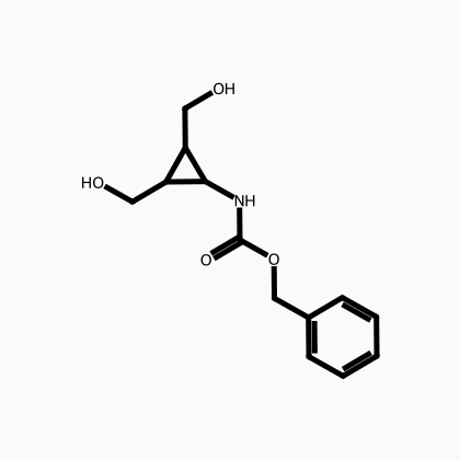 O=C(NC1C(CO)C1CO)OCc1ccccc1